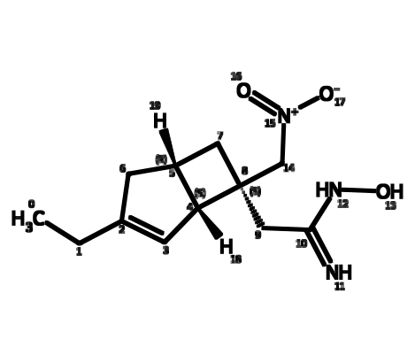 CCC1=C[C@@H]2[C@H](C1)C[C@@]2(CC(=N)NO)C[N+](=O)[O-]